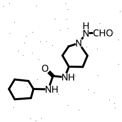 O=CNN1CCC(NC(=O)NC2CCCCC2)CC1